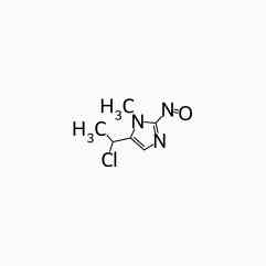 CC(Cl)c1cnc(N=O)n1C